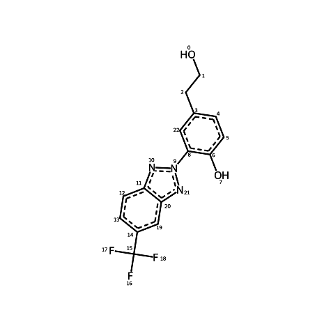 OCCc1ccc(O)c(-n2nc3ccc(C(F)(F)F)cc3n2)c1